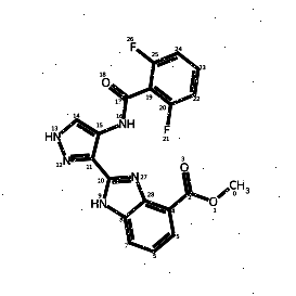 COC(=O)c1cccc2[nH]c(-c3n[nH]cc3NC(=O)c3c(F)cccc3F)nc12